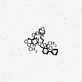 CCC1(Cl)C(c2ccccc2)=CC=CC1(COc1nc(OC)c(C=O)c(OC)n1)OCCCN1CCOCC1